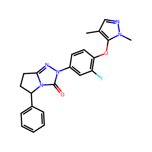 Cc1cnn(C)c1Oc1ccc(-n2nc3n(c2=O)C(c2ccccc2)CC3)cc1F